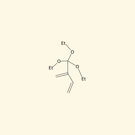 C=CC(=C)C(OCC)(OCC)OCC